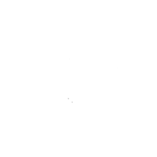 O=C(c1[nH]ccc1Cl)C(Cl)(Cl)Cl